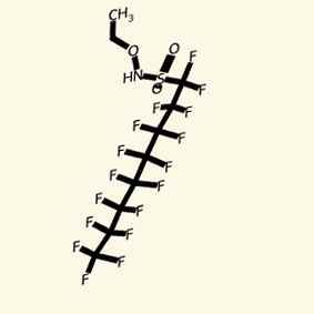 CCONS(=O)(=O)C(F)(F)C(F)(F)C(F)(F)C(F)(F)C(F)(F)C(F)(F)C(F)(F)C(F)(F)F